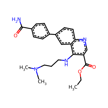 CCOC(=O)c1cnc2ccc(-c3ccc(C(N)=O)cc3)cc2c1NCCCN(C)C